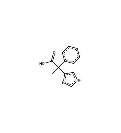 CC(C(=O)O)(c1ccccc1)c1c[nH]cn1